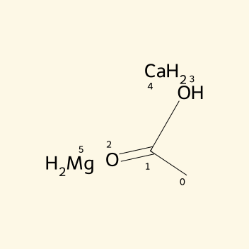 CC(=O)O.[CaH2].[MgH2]